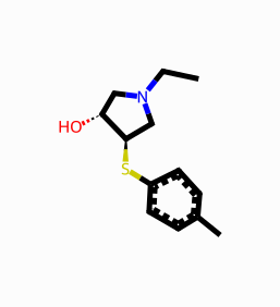 CCN1C[C@@H](O)[C@H](Sc2ccc(C)cc2)C1